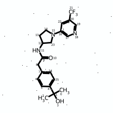 CC(C)(O)c1ccc(CC(=O)NC2CCN(c3cncc(C(F)(F)F)c3)C2)cc1